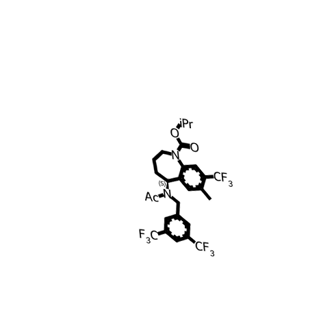 CC(=O)N(Cc1cc(C(F)(F)F)cc(C(F)(F)F)c1)[C@H]1CCCN(C(=O)OC(C)C)c2cc(C(F)(F)F)c(C)cc21